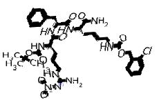 CC(C)(C)OC(=O)N[C@H](CCCN/C(N)=N\[N+](=O)[O-])C(=O)N[C@@H](Cc1ccccc1)C(=O)N[C@@H](CCCCNC(=O)OCc1ccccc1Cl)C(N)=O